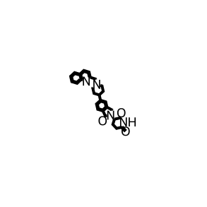 O=C1CCC(N2Cc3cc(C4CCN(Cc5ccc6ccccc6n5)CC4)ccc3C2=O)C(=O)N1